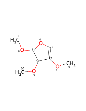 COC1=COC(OC)C1OC